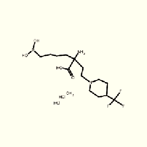 Cl.Cl.NC(CCCCB(O)O)(CCN1CCC(C(F)(F)F)CC1)C(=O)O.O